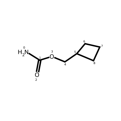 NC(=O)OCC1CCC1